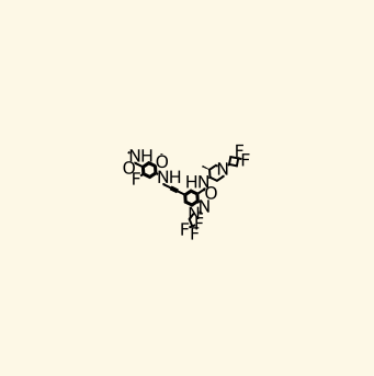 CNC(=O)c1cc(OC)c(NCC#Cc2cc(C(=O)N[C@H]3CCN(C4CC(F)(F)C4)C[C@@H]3C)c3ncn(CC(F)(F)F)c3c2)cc1F